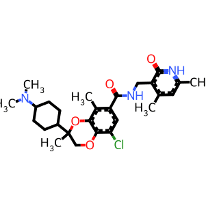 Cc1cc(C)c(CNC(=O)c2cc(Cl)c3c(c2C)OC(C)(C2CCC(N(C)C)CC2)CO3)c(=O)[nH]1